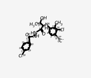 [C-]#[N+]c1ccc(N[C@@H](C(=O)NNC(=O)c2ccc(Cl)cc2)[C@H](C)O)c(C)c1Cl